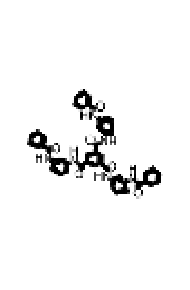 O=C(Nc1cccc(NC(=O)c2cc(C(=O)Nc3cccc(NC(=O)c4ccccc4)c3)cc(C(=O)Nc3cccc(NC(=O)c4ccccc4)c3)c2)c1)c1ccccc1